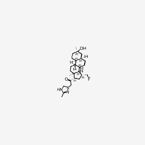 CC1=NN(CC(=O)[C@H]2C[C@@H](CF)[C@H]3[C@@H]4CC[C@@H]5C[C@](C)(O)CC[C@@H]5[C@H]4CC[C@@]32C)CN1